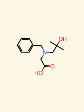 CC(C)(O)CN(CC(=O)O)Cc1ccccc1